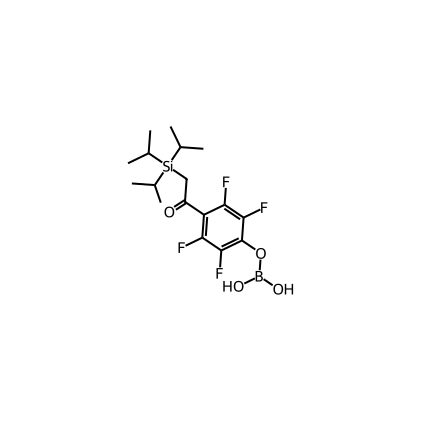 CC(C)[Si](CC(=O)c1c(F)c(F)c(OB(O)O)c(F)c1F)(C(C)C)C(C)C